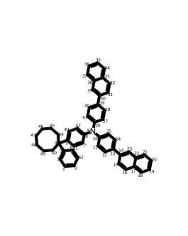 c1ccc(C2(c3ccc(N(c4ccc(-c5ccc6ccccc6c5)cc4)c4ccc(-c5ccc6ccccc6c5)cc4)cc3)CCCCCCC2)cc1